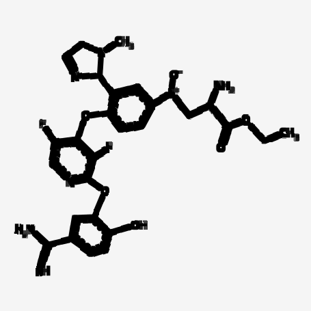 CCOC(=O)C(N)C[S+]([O-])c1ccc(Oc2c(F)cnc(Oc3cc(C(=N)N)ccc3O)c2F)c(C2N=CCN2C)c1